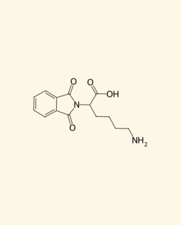 NCCCCC(C(=O)O)N1C(=O)c2ccccc2C1=O